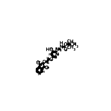 CC(C)(C)OC(=O)N/C=N/c1ncc(OCCON2C(=O)c3ccccc3C2=O)cc1O